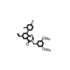 C=Cc1cc(-c2ccc(F)cc2C)c2ncn(Cc3cc(OC)cc(OC)c3)c(=O)c2c1